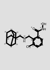 O=C(NO)c1cccc(Cl)c1CNCC12CC3CC(CC(C3)C1)C2